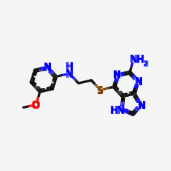 COc1ccnc(NCCSc2nc(N)nc3nc[nH]c23)c1